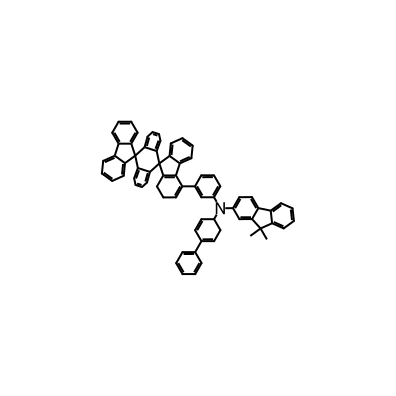 CC1(C)c2ccccc2-c2ccc(N(c3cccc(C4=CCCC5=C4c4ccccc4C54c5ccccc5C5(c6ccccc6-c6ccccc65)c5ccccc54)c3)C3C=CC(c4ccccc4)=CC3)cc21